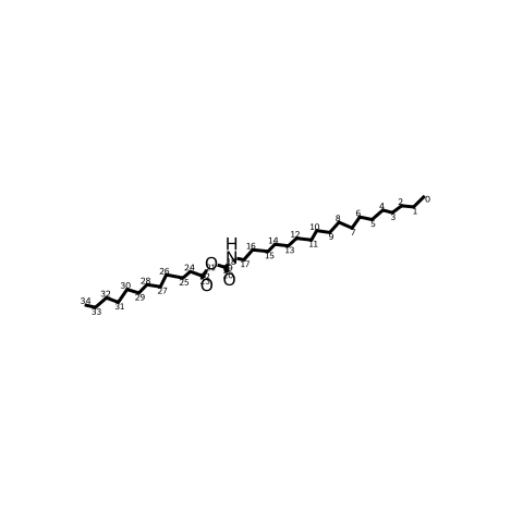 CCCCCCCCCCCCCCCCCCNC(=O)OC(=O)CCCCCCCCCCC